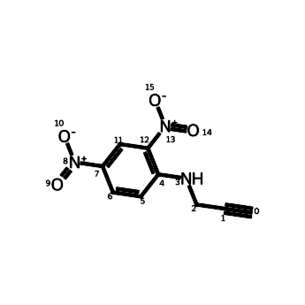 C#CCNc1ccc([N+](=O)[O-])cc1[N+](=O)[O-]